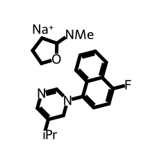 CC(C)C1=CN=CN(c2ccc(F)c3ccccc23)C1.C[N-]C1CCCO1.[Na+]